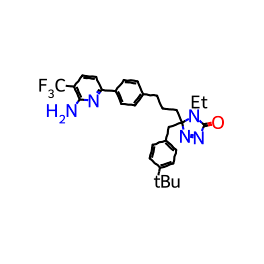 CCN1C(=O)N=NC1(CCCc1ccc(-c2ccc(C(F)(F)F)c(N)n2)cc1)Cc1ccc(C(C)(C)C)cc1